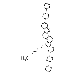 CCCCCCCCn1c2cc(-c3ccc(-c4ccccc4)cc3)ccc2c2ccc3c(ccc4c5ccc(-c6ccc(-c7ccccc7)cc6)cc5sc43)c21